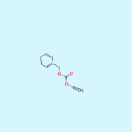 C#COC(=O)OCc1ccccc1